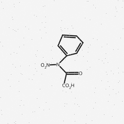 O=C(O)C(=O)N(c1ccccc1)[N+](=O)[O-]